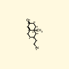 CC(=O)CCC1CCC2=CC(=O)CCC2(C)C1